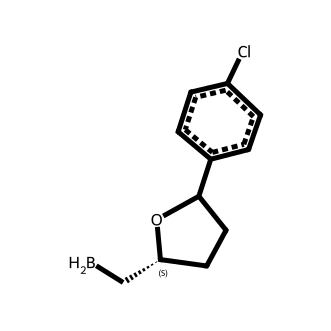 BC[C@H]1CCC(c2ccc(Cl)cc2)O1